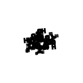 CC(C)C1NC(=O)[C@@H](NC(=O)[C@@H](O)C(C)C)Cc2ccc3c(c2)C2(c4ccc(F)cc4NC2O3)c2oc1nc2-c1nc(CO)co1